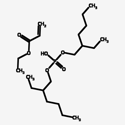 C=CC(=O)OCC.CCCCC(CC)COP(=O)(O)OCC(CC)CCCC